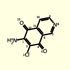 NC1=C(Cl)C(=O)c2cnccc2C1=O